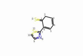 S=C1CC=CC=C1c1nccs1